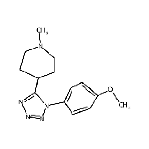 COc1ccc(-n2nnnc2C2CCN(C)CC2)cc1